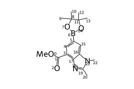 COC(=O)c1cc(B2OC(C)(C)C(C)(C)O2)cc2c1nc(C)n2C